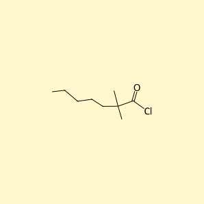 CCCCCC(C)(C)C(=O)Cl